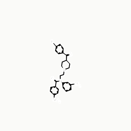 O=C(c1ccc(F)cc1)C1CCN(CCN(C(=O)c2ccc([N+](=O)[O-])cc2)c2cccc(C(F)(F)F)c2)CC1